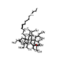 CCCCCCCC/C=C\CCCC(CC(O)CO)(CC(O)CO)C(CC(O)CO)(CC(O)CO)C(CC(O)CO)(CC(O)CO)C(CC(O)CO)(CC(O)CO)C(=O)O